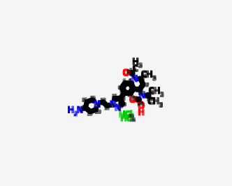 CC(=O)N1c2ccc(-c3cnn(CCN4CCC(N)CC4)c3)cc2C(N(C(=O)O)C(C)C)CC1C.Cl.Cl